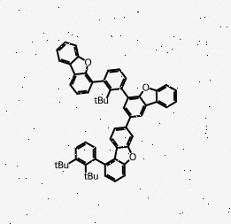 CC(C)(C)c1cccc(-c2cccc3oc4cc(-c5cc(-c6cccc(-c7cccc8c7oc7ccccc78)c6C(C)(C)C)c6oc7ccccc7c6c5)ccc4c23)c1C(C)(C)C